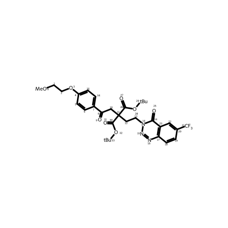 COCCOc1ccc(C(=O)CC(CCn2nnc3ccc(C(F)(F)F)cc3c2=O)(C(=O)OC(C)(C)C)C(=O)OC(C)(C)C)cc1